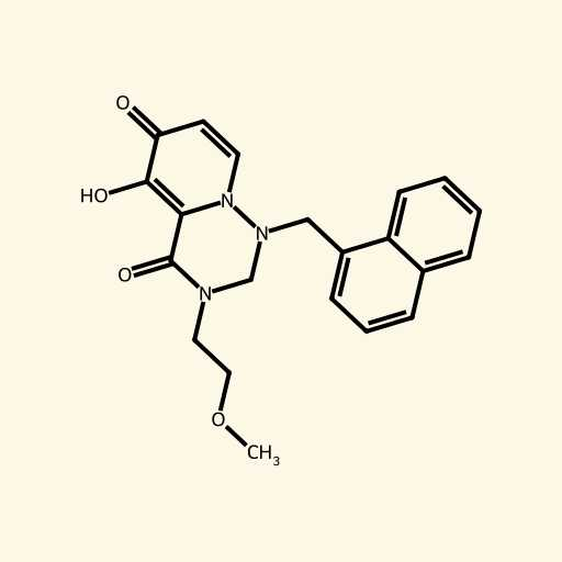 COCCN1CN(Cc2cccc3ccccc23)n2ccc(=O)c(O)c2C1=O